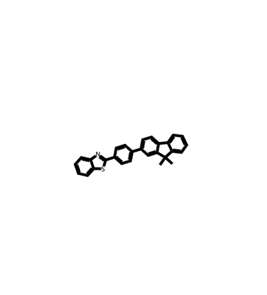 CC1(C)c2ccccc2-c2ccc(-c3ccc(-c4nc5ccccc5s4)cc3)cc21